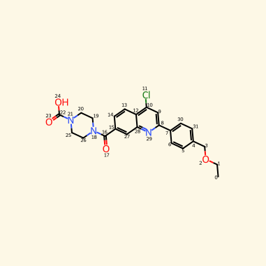 CCOCc1ccc(-c2cc(Cl)c3ccc(C(=O)N4CCN(C(=O)O)CC4)cc3n2)cc1